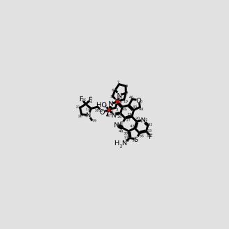 C[C@@H](O)CN1CC2CCC(C1)N2c1nc(OCC2N(C)CCC2(F)F)nc2c(F)c(-c3ncc(F)c4sc(N)c(C#N)c34)c3c(c12)COC3